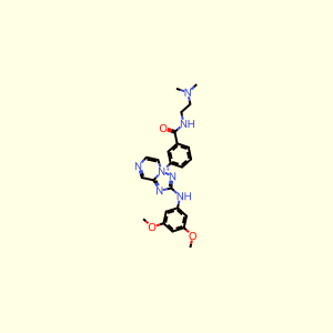 COc1cc(NC2=N[N+]3(c4cccc(C(=O)NCCN(C)C)c4)C=CN=CC3=N2)cc(OC)c1